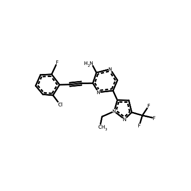 CCn1nc(C(F)(F)F)cc1-c1cnc(N)c(C#Cc2c(F)cccc2Cl)n1